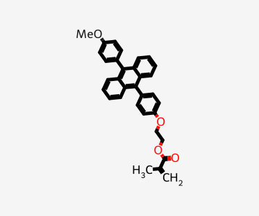 C=C(C)C(=O)OCCOc1ccc(-c2c3ccccc3c(-c3ccc(OC)cc3)c3ccccc23)cc1